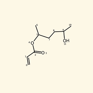 C=CC(=O)OC(C)CCC(C)O